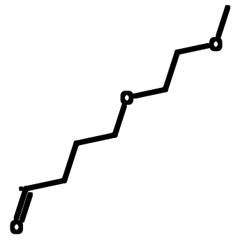 COCCOCCC[C]=O